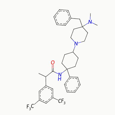 CC(C(=O)NC1(c2ccccc2)CCC(N2CCC(Cc3ccccc3)(N(C)C)CC2)CC1)c1cc(C(F)(F)F)cc(C(F)(F)F)c1